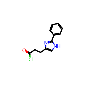 O=C(Cl)CCc1c[nH]c(-c2ccccc2)n1